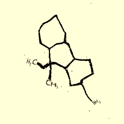 BC1CCC2C3CCCCC3C(C)(C)C2C1